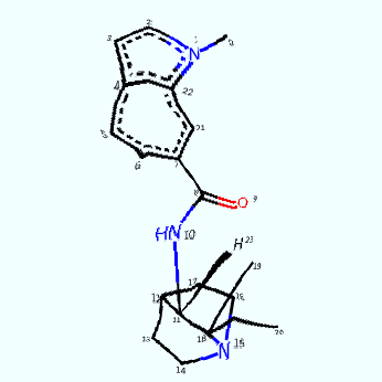 Cn1ccc2ccc(C(=O)N[C@H]3C4CCN(CC4)C3(C)C)cc21